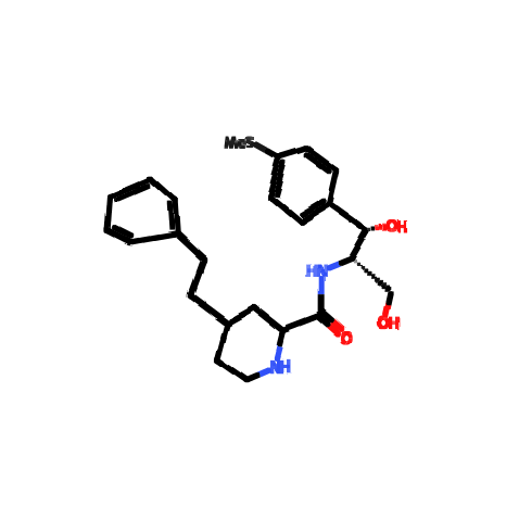 CSc1ccc([C@H](O)[C@H](CO)NC(=O)C2CC(CCc3ccccc3)CCN2)cc1